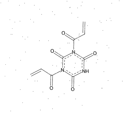 C=CC(=O)n1c(=O)[nH]c(=O)n(C(=O)C=C)c1=O